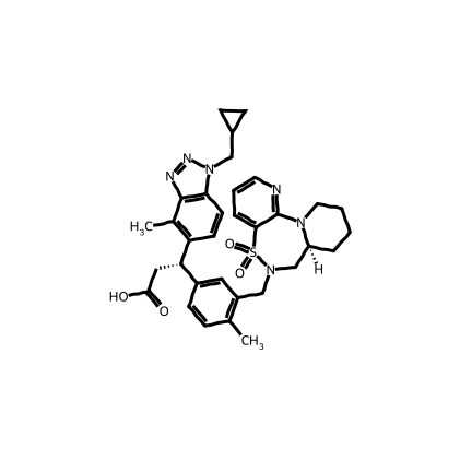 Cc1ccc([C@H](CC(=O)O)c2ccc3c(nnn3CC3CC3)c2C)cc1CN1C[C@@H]2CCCCN2c2ncccc2S1(=O)=O